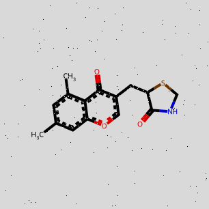 Cc1cc(C)c2c(=O)c(CC3SCNC3=O)coc2c1